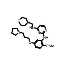 COc1ccc(OCCCN2CCCC2)cc1Nc1nccc(NCC2CCOCC2)n1